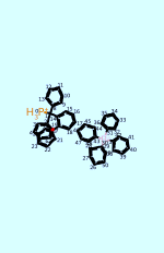 [PH3+]C(c1ccccc1)(c1ccccc1)c1ccccc1-c1ccccc1.c1ccc([B-](c2ccccc2)(c2ccccc2)c2ccccc2)cc1